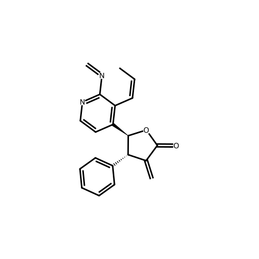 C=Nc1nccc([C@H]2OC(=O)C(=C)[C@@H]2c2ccccc2)c1/C=C\C